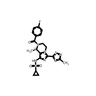 Cc1nsc(-c2nc(NS(=O)(=O)C3CC3)c3n2CCN(C(=O)c2ccc(F)cc2)[C@@H]3C)n1